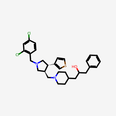 OC(Cc1ccccc1)CC1CCN(C[C@H]2CN(Cc3ccc(Cl)cc3Cl)C[C@@H]2c2ccsc2)CC1